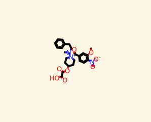 COc1cc(C(=O)[N+]2(N(C)CCc3ccccc3)CCC(OC(=O)C(=O)O)CC2)ccc1[N+](=O)[O-]